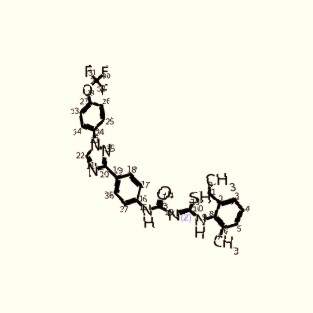 CCc1cccc(C)c1N/C(S)=N/C(=O)Nc1ccc(-c2ncn(-c3ccc(OC(F)(F)F)cc3)n2)cc1